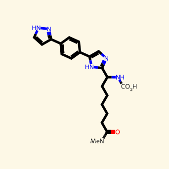 CNC(=O)CCCCCC(NC(=O)O)c1ncc(-c2ccc(-c3cc[nH]n3)cc2)[nH]1